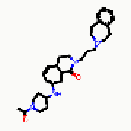 CC(=O)N1CCC(NC2=CC=CC3CCN(CCCN4CCc5ccccc5CC4)C(=O)C3C2)CC1